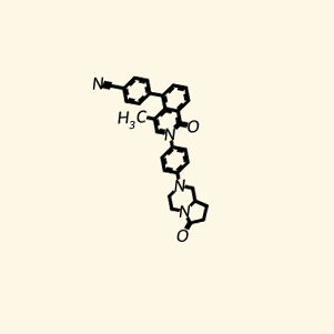 Cc1cn(-c2ccc(N3CCN4C(=O)CCC4C3)cc2)c(=O)c2cccc(-c3ccc(C#N)cc3)c12